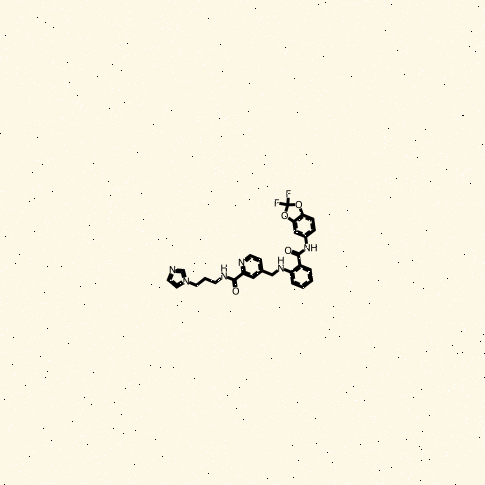 O=C(NCCCn1ccnc1)c1cc(CNc2ccccc2C(=O)Nc2ccc3c(c2)OC(F)(F)O3)ccn1